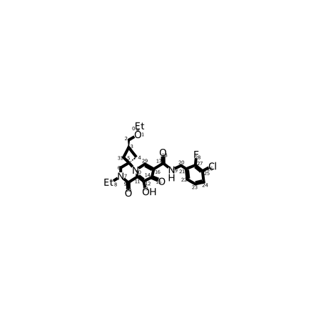 CCOC[C@H]1C[C@]2(CN(CC)C(=O)c3c(O)c(=O)c(C(=O)NCc4cccc(Cl)c4F)cn32)C1